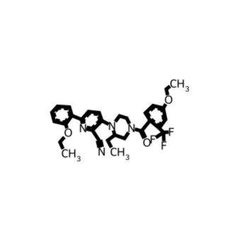 CCOc1ccc(C(=O)N2CCN(c3ccc(-c4ccccc4OCC)nc3C#N)C(CC)C2)c(C(F)(F)F)c1